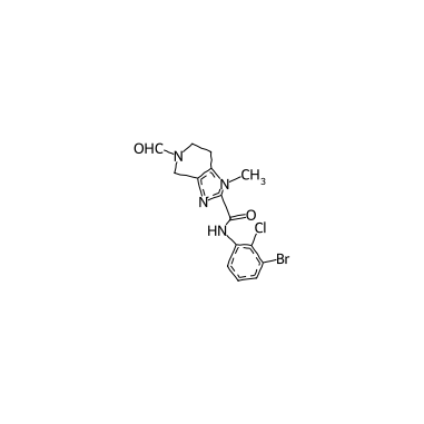 Cn1c(C(=O)Nc2cccc(Br)c2Cl)nc2c1CCN(C=O)C2